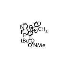 CNC(=O)OC(c1cn(S(=O)(=O)c2ccoc2C)c(-c2cccnc2F)c1F)C(C)(C)C